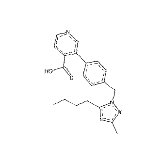 CCCCc1nc(C)nn1Cc1ccc(-c2cnccc2C(=O)O)cc1